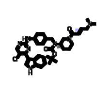 CN(C)C/C=C/C(=O)N1CCC[C@@H](N(Cc2ccc(Nc3ncc(Cl)c(-c4c[nH]c5ccccc45)n3)cc2)C(=O)OC(C)(C)C)C1